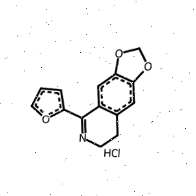 Cl.c1coc(C2=NCCc3cc4c(cc32)OCO4)c1